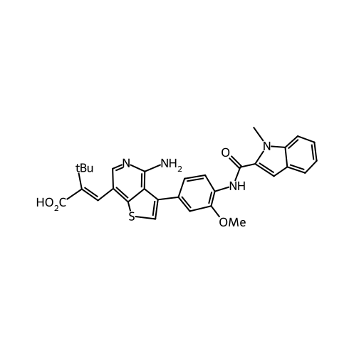 COc1cc(-c2csc3c(/C=C(/C(=O)O)C(C)(C)C)cnc(N)c23)ccc1NC(=O)c1cc2ccccc2n1C